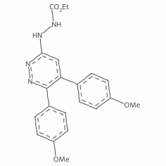 CCOC(=O)NNc1cc(-c2ccc(OC)cc2)c(-c2ccc(OC)cc2)nn1